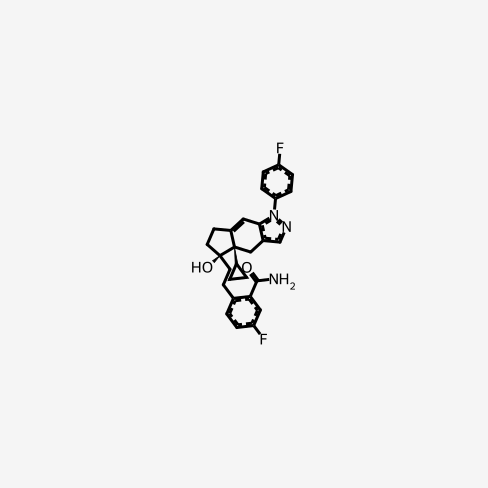 NC(=O)c1cc(F)ccc1CC[C@]1(O)CCC2=Cc3c(cnn3-c3ccc(F)cc3)C[C@@]21C1CC1